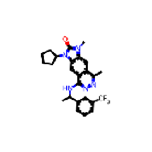 Cc1nnc(NC(C)c2cccc(C(F)(F)F)c2)c2cc3c(cc12)n(C)c(=O)n3C1CCCC1